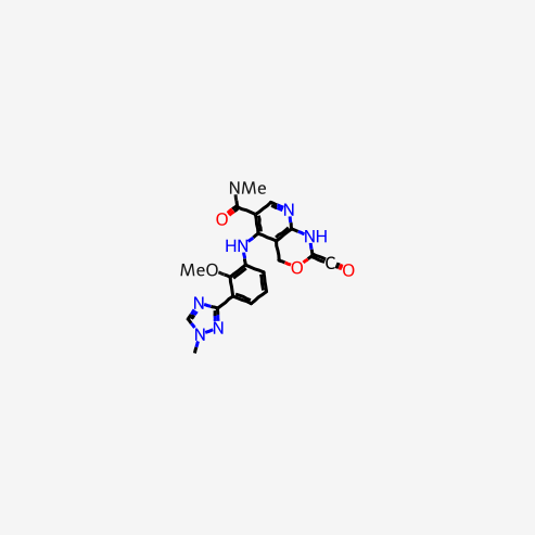 CNC(=O)c1cnc2c(c1Nc1cccc(-c3ncn(C)n3)c1OC)COC(=C=O)N2